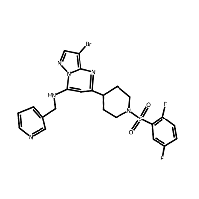 O=S(=O)(c1cc(F)ccc1F)N1CCC(c2cc(NCc3cccnc3)n3ncc(Br)c3n2)CC1